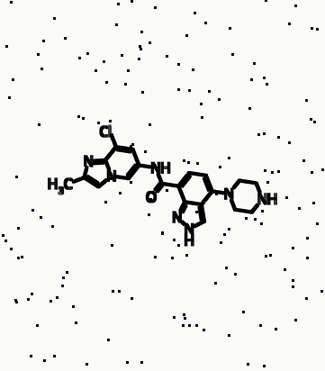 Cc1cn2cc(NC(=O)c3ccc(N4CCNCC4)c4c[nH]nc34)cc(Cl)c2n1